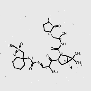 CC(C)(C)C(C=NC(=O)NC1(CS(=O)(=O)C(C)(C)C)CCCCC1)C(=O)N1C[C@H]2C([C@H]1C(=O)N[C@H](C#N)C[C@@H]1CCNC1=O)C2(C)C